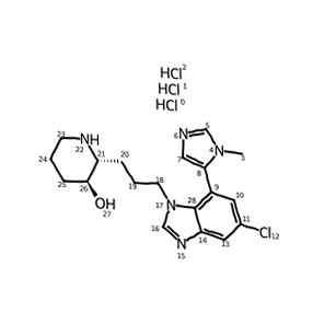 Cl.Cl.Cl.Cn1cncc1-c1cc(Cl)cc2ncn(CCC[C@H]3NCCC[C@@H]3O)c12